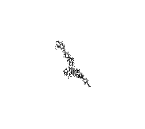 CC[C@H](c1ccccc1)N1Cc2cc3c(cc2C[C@H]1C(=O)NC(Cc1ccc(-c2ccc(C#N)cc2)cc1)C(=O)O)OC[C@H](c1ccc(OCc2ccc(Cl)c(Cl)c2)cc1)O3